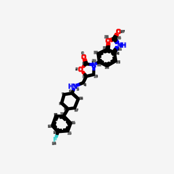 O=C1OC(CNC2CCC(c3ccc(F)cc3)CC2)CN1c1ccc2[nH]c(=O)oc2c1